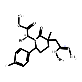 CC[C@@H](C(=O)OC(C)(C)C)N1C(=O)C(C)(C/C(=N/N)NN)CCC1c1ccc(Cl)cc1